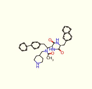 CC(=O)N(CC1CCNCC1)C(Cc1ccc(-c2ccccc2)cc1)[C@@H]1NC(=O)[C@H](Cc2ccc3ccccc3c2)NC1=O